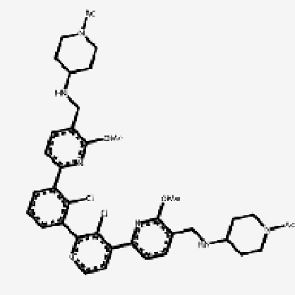 COc1nc(-c2cccc(-c3nccc(-c4ccc(CNC5CCN(C(C)=O)CC5)c(OC)n4)c3Cl)c2Cl)ccc1CNC1CCN(C(C)=O)CC1